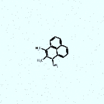 CC1=C(C)C([SiH3])c2cccc3cccc1c23